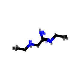 CC/N=C(\N)CNCC